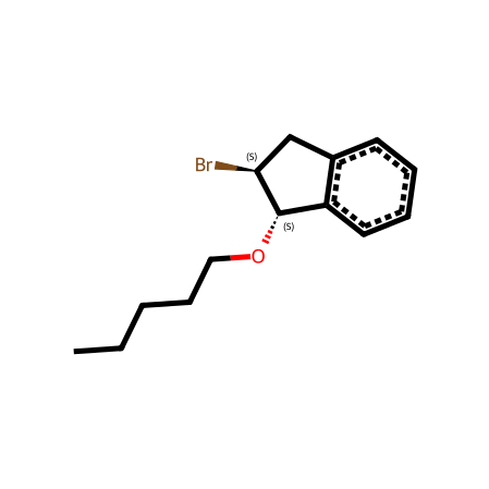 CCCCCO[C@H]1c2ccccc2C[C@@H]1Br